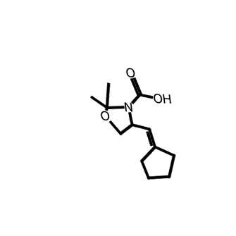 CC1(C)OCC(C=C2CCCC2)N1C(=O)O